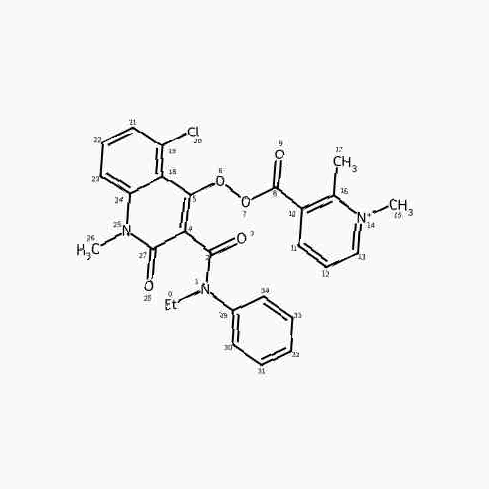 CCN(C(=O)c1c(OOC(=O)c2ccc[n+](C)c2C)c2c(Cl)cccc2n(C)c1=O)c1ccccc1